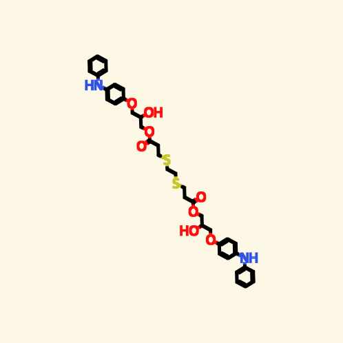 O=C(CCSCCSCCC(=O)OCC(O)COc1ccc(Nc2ccccc2)cc1)OCC(O)COc1ccc(Nc2ccccc2)cc1